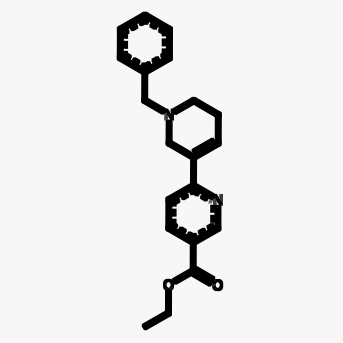 CCOC(=O)c1ccc(C2=CCCN(Cc3ccccc3)C2)nc1